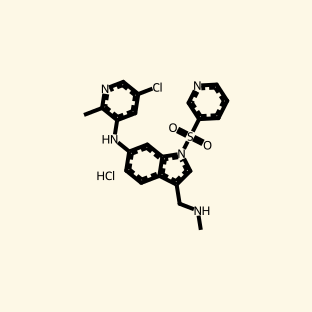 CNCc1cn(S(=O)(=O)c2cccnc2)c2cc(Nc3cc(Cl)cnc3C)ccc12.Cl